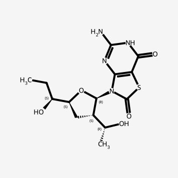 CC[C@H](O)[C@@H]1C[C@@H]([C@@H](C)O)[C@H](n2c(=O)sc3c(=O)[nH]c(N)nc32)O1